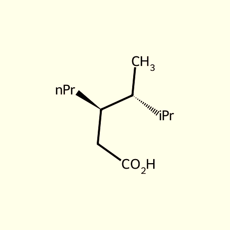 CCC[C@H](CC(=O)O)[C@H](C)C(C)C